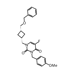 COc1ccc(Cn2c(=O)c(F)cn(C[C@H]3C[C@@H](COCc4ccccc4)C3)c2=O)cc1